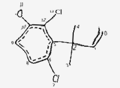 C=CC(C)(C)c1c(Cl)ccc([O])c1Cl